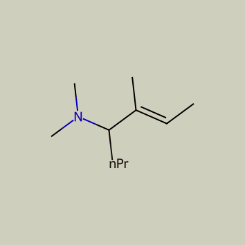 CC=C(C)C(CCC)N(C)C